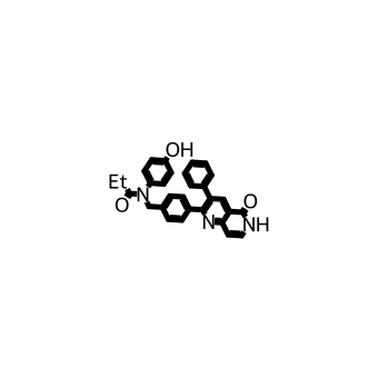 CCC(=O)N(Cc1ccc(-c2nc3cc[nH]c(=O)c3cc2-c2ccccc2)cc1)c1ccc(O)cc1